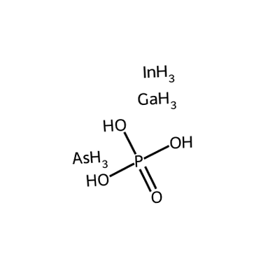 O=P(O)(O)O.[AsH3].[GaH3].[InH3]